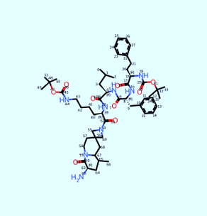 CC(C)C[C@@H](NC(=O)[C@@H](Cc1ccccc1)NC(=O)[C@@H](CCc1ccccc1)NC(=O)OC(C)(C)C)C(=O)N[C@H](CCCCNC(=O)OC(C)(C)C)C(=O)N1CC2(CCN3C(=O)[C@H](N)CC(C)C3C2)C1